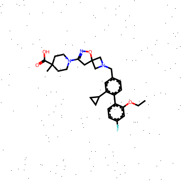 CCOc1cc(F)ccc1-c1ccc(CN2CC3(CC(N4CCC(C)(C(=O)O)CC4)=NO3)C2)cc1C1CC1